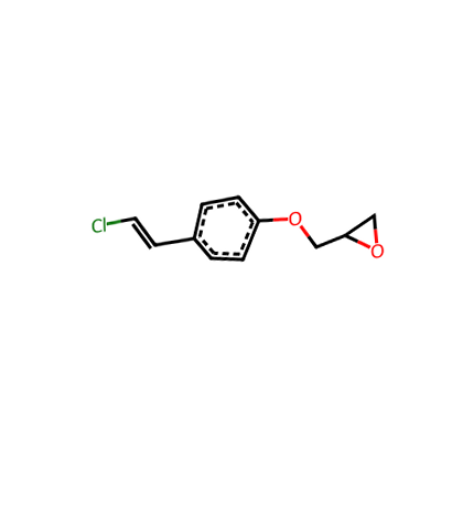 Cl/C=C/c1ccc(OCC2CO2)cc1